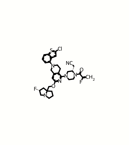 C=C(F)C(=O)N1CCN(c2nc(OCC34CCCN3C[C@H](F)C4)cc3c2CCN(c2cccc4sc(Cl)cc24)C3)C[C@@H]1CC#N